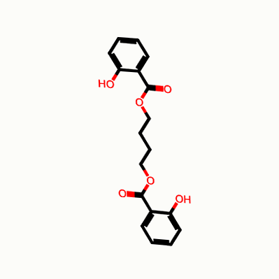 O=C(OCCCCOC(=O)c1ccccc1O)c1ccccc1O